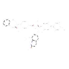 Cc1cc([C@@H](C)C(OC(=O)N2CCC(N3CCc4ccccc4NC3=O)CC2)C(=O)N2CCN(C3CCN(C)CC3)CC2)cc2ccc(=O)[nH]c12